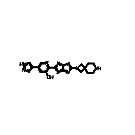 Oc1cc(-c2cn[nH]c2)cnc1-c1nc2sc(N3CC4(CCNCC4)C3)nc2s1